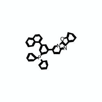 c1ccc(P(c2ccccc2)c2cc(-c3ccc4nc5c6ccccc6oc5n4c3)cc(-c3cccc4ccccc34)c2)cc1